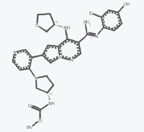 CCc1cc(O)ccc1/N=C(\N)c1cnn2cc(-c3cnccc3N3CC[C@H](NC(=O)OC(C)(C)C)C3)cc2c1N[C@H]1CCOC1